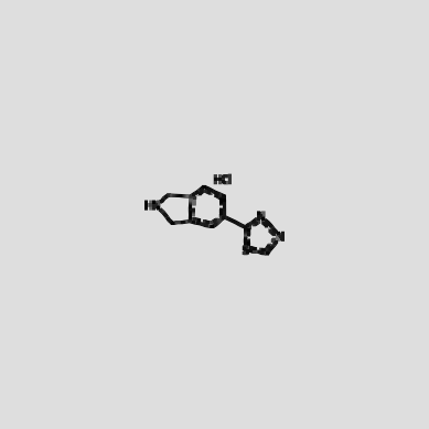 Cl.c1nnc(-c2ccc3c(c2)CNC3)s1